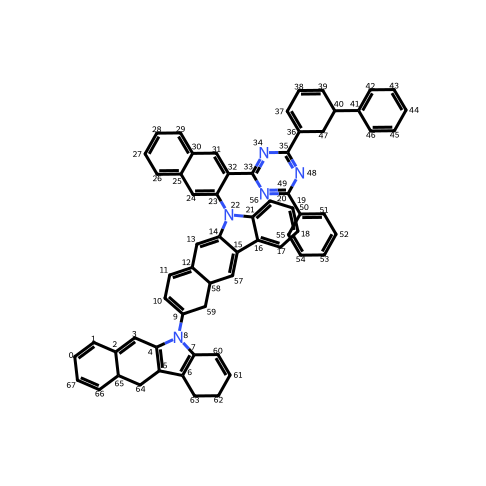 C1=CC2=Cc3c(c4c(n3C3=CC=C5C=c6c(c7ccccc7n6-c6cc7ccccc7cc6-c6nc(C7=CC=CC(c8ccccc8)C7)nc(-c7ccccc7)n6)=CC5C3)C=CCC4)CC2C=C1